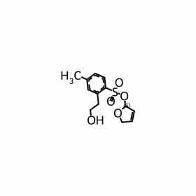 Cc1ccc(S(=O)(=O)O[C@H]2C=CCO2)c(CCO)c1